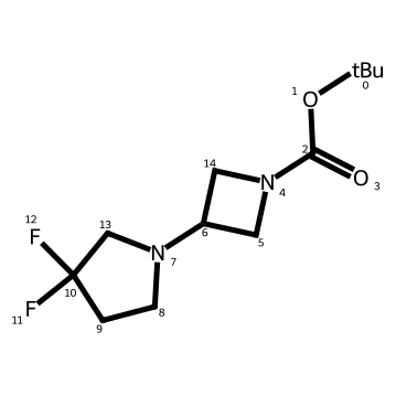 CC(C)(C)OC(=O)N1CC(N2CCC(F)(F)C2)C1